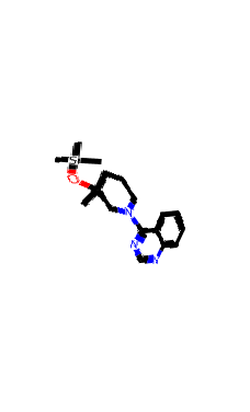 CC1(O[Si](C)(C)C)CCCN(c2ncnc3ccccc23)C1